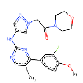 CCOc1ccc(-c2nc(Nc3cnn(CC(=O)N4CCOCC4)c3)ncc2C)cc1F